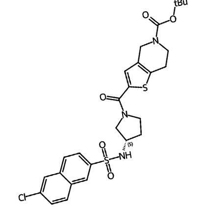 CC(C)(C)OC(=O)N1CCc2sc(C(=O)N3CC[C@H](NS(=O)(=O)c4ccc5cc(Cl)ccc5c4)C3)cc2C1